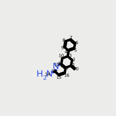 C=C1CC(c2ccccc2)Cc2nc(N)ccc21